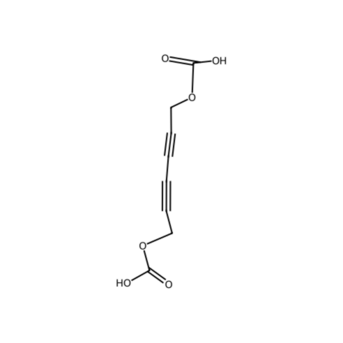 O=C(O)OCC#CC#CCOC(=O)O